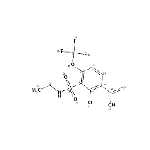 CCNS(=O)(=O)c1c(OC(F)(F)F)ccc(C(=O)O)c1Cl